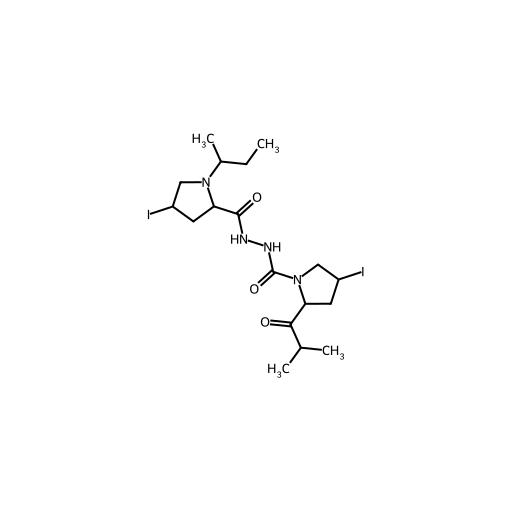 CCC(C)N1CC(I)CC1C(=O)NNC(=O)N1CC(I)CC1C(=O)C(C)C